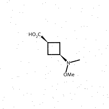 CON(C)[C@H]1C[C@@H](C(=O)O)C1